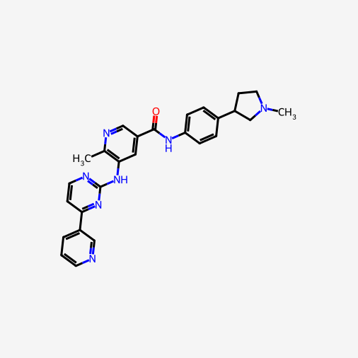 Cc1ncc(C(=O)Nc2ccc(C3CCN(C)C3)cc2)cc1Nc1nccc(-c2cccnc2)n1